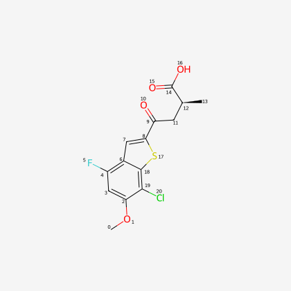 COc1cc(F)c2cc(C(=O)C[C@H](C)C(=O)O)sc2c1Cl